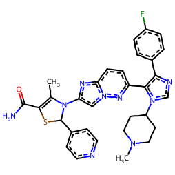 CC1=C(C(N)=O)SC(c2ccncc2)N1c1cn2nc(-c3c(-c4ccc(F)cc4)ncn3C3CCN(C)CC3)ccc2n1